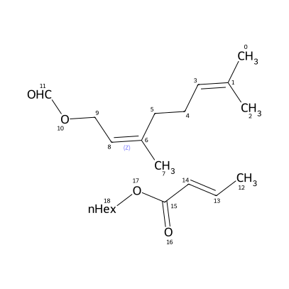 CC(C)=CCC/C(C)=C\COC=O.CC=CC(=O)OCCCCCC